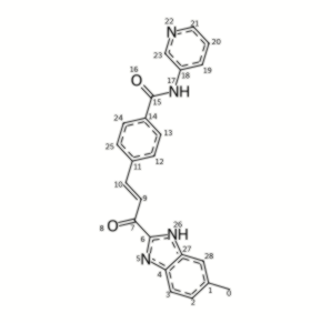 Cc1ccc2nc(C(=O)C=Cc3ccc(C(=O)Nc4cccnc4)cc3)[nH]c2c1